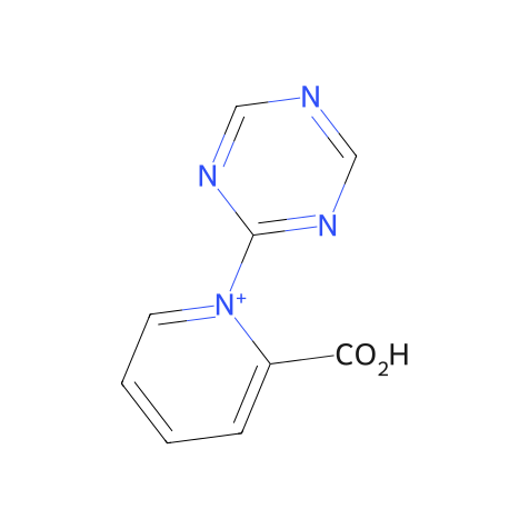 O=C(O)c1cccc[n+]1-c1ncncn1